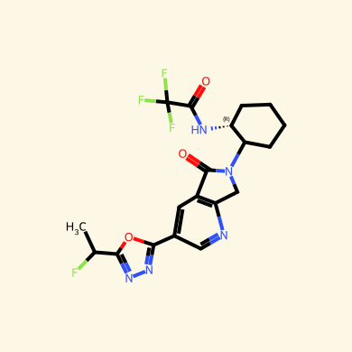 CC(F)c1nnc(-c2cnc3c(c2)C(=O)N(C2CCCC[C@H]2NC(=O)C(F)(F)F)C3)o1